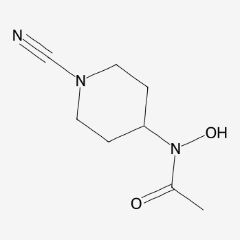 CC(=O)N(O)C1CCN(C#N)CC1